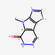 Cn1c2ncsc2c2cn[nH]c(=O)c21